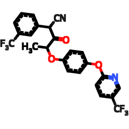 CC(Oc1ccc(Oc2ccc(C(F)(F)F)cn2)cc1)C(=O)C(C#N)c1cccc(C(F)(F)F)c1